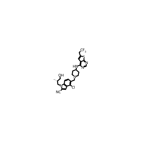 C[C@H](CO)Cn1c(C#N)cc2c(Cl)c(CN3CCC(Nc4ncnc5sc(CC(F)(F)F)cc45)CC3)ccc21